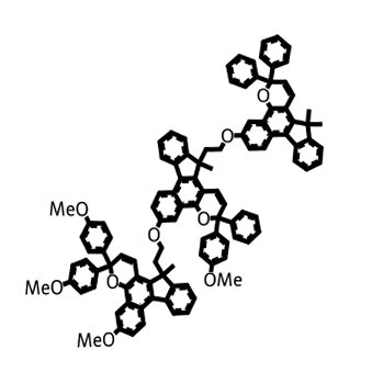 COc1ccc(C2(c3ccc(OC)cc3)C=Cc3c4c(c5ccc(OC)cc5c3O2)-c2ccccc2C4(C)CCOc2ccc3c4c(c5c(c3c2)OC(c2ccccc2)(c2ccc(OC)cc2)C=C5)C(C)(CCOc2ccc3c5c(c6c(c3c2)OC(c2ccccc2)(c2ccccc2)C=C6)C(C)(C)c2ccccc2-5)c2ccccc2-4)cc1